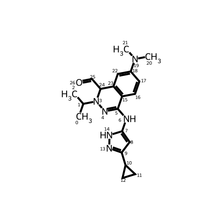 CC(C)N1N=C(Nc2cc(C3CC3)n[nH]2)c2ccc(N(C)C)cc2C1C=O